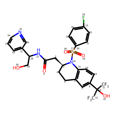 O=C(C[C@@H]1CCc2cc(C(O)(C(F)(F)F)C(F)(F)F)ccc2N1S(=O)(=O)c1ccc(F)cc1)NC(CO)c1cccnc1